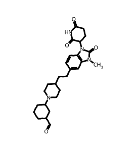 Cn1c(=O)n(C2CCC(=O)NC2=O)c2ccc(CCC3CCN(C4CCCC(C=O)C4)CC3)cc21